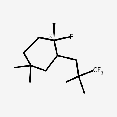 CC1(C)CC[C@](C)(F)C(CC(C)(C)C(F)(F)F)C1